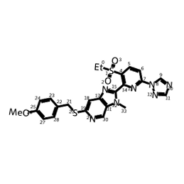 CCS(=O)(=O)c1ccc(-n2cncn2)nc1-c1nc2cc(SCc3ccc(OC)cc3)ncc2n1C